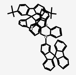 CC(C)(C)c1ccc2c(c1)C1(c3ccccc3Oc3c(CN(c4ccc5c(c4)C4(c6ccccc6-c6ccccc64)c4ccccc4-5)c4ccccc4-n4c5ccccc5c5ccccc54)cccc31)c1cc(C(C)(C)C)ccc1-2